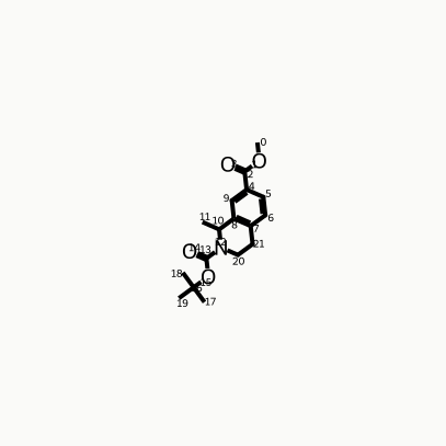 COC(=O)c1ccc2c(c1)C(C)N(C(=O)OC(C)(C)C)CC2